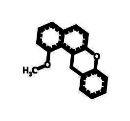 COc1cccc2ccc3c(c12)Cc1ccccc1O3